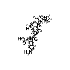 CC[C@H](C)[C@H](NC(=O)[C@@]1(C)CCCN1C)C(=O)N(C)[C@H](C[C@@H](NC(C)=O)c1nc(C(=O)N[C@@H](Cc2ccc(N)cc2)C[C@H](C)C(=O)O)cs1)C(C)C